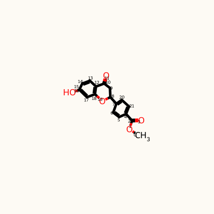 COC(=O)c1ccc(C2CC(=O)c3ccc(O)cc3O2)cc1